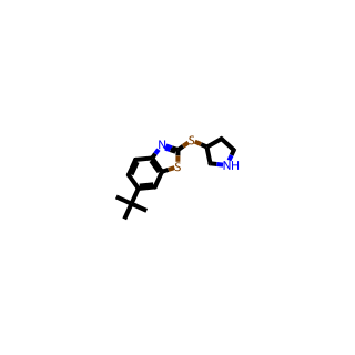 CC(C)(C)c1ccc2nc(SC3CCNC3)sc2c1